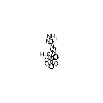 Cn1c(=O)n(N2C(=O)CCCC2=O)c2cccc(N3CCN(c4ccc(N)nc4)CC3)c21